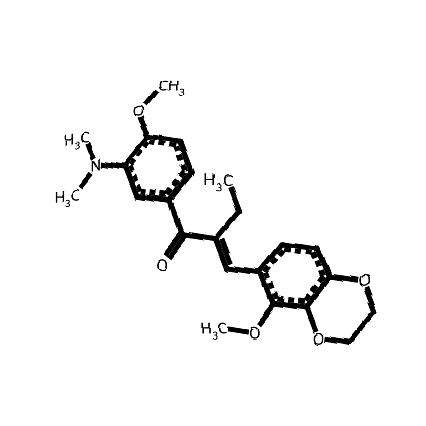 CC/C(=C\c1ccc2c(c1OC)OCCO2)C(=O)c1ccc(OC)c(N(C)C)c1